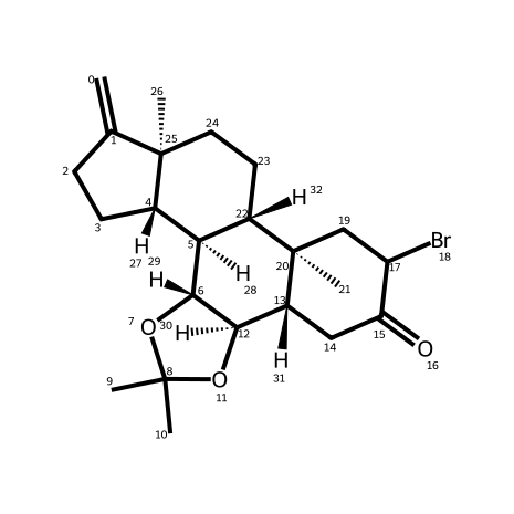 C=C1CC[C@H]2[C@@H]3[C@H]4OC(C)(C)O[C@@H]4[C@H]4CC(=O)C(Br)C[C@]4(C)[C@H]3CC[C@]12C